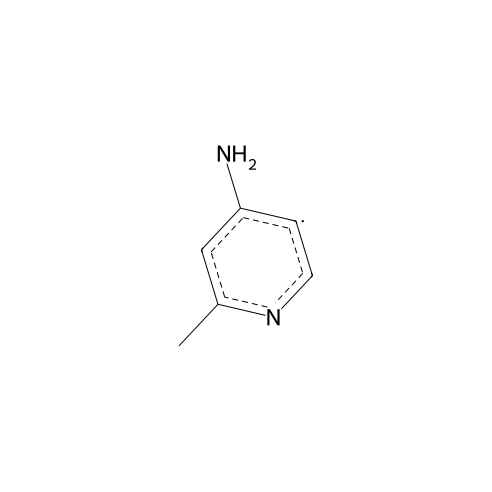 Cc1cc(N)[c]cn1